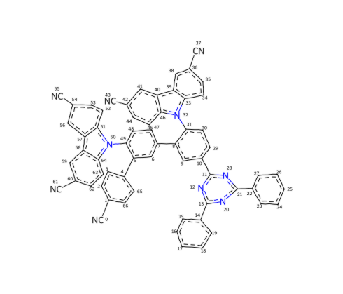 N#Cc1ccc(-c2cc(-c3cc(-c4nc(-c5ccccc5)nc(-c5ccccc5)n4)ccc3-n3c4ccc(C#N)cc4c4cc(C#N)ccc43)ccc2-n2c3ccc(C#N)cc3c3cc(C#N)ccc32)cc1